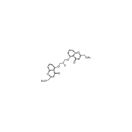 CC(=O)OCc1cc(=O)c2c(OCC(F)COc3cccc4oc(COC(C)=O)cc(=O)c34)cccc2o1